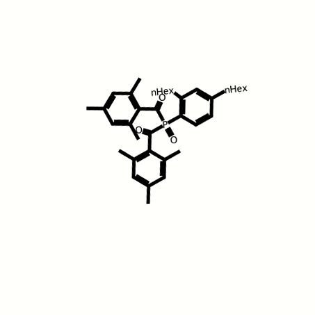 CCCCCCc1ccc(P(=O)(C(=O)c2c(C)cc(C)cc2C)C(=O)c2c(C)cc(C)cc2C)c(CCCCCC)c1